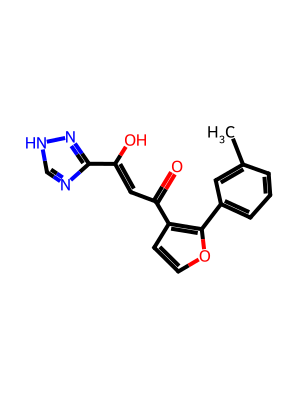 Cc1cccc(-c2occc2C(=O)C=C(O)c2nc[nH]n2)c1